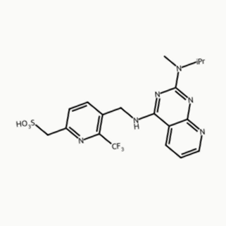 CC(C)N(C)c1nc(NCc2ccc(CS(=O)(=O)O)nc2C(F)(F)F)c2cccnc2n1